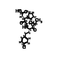 CCOC(=O)[C@H](CCc1ccc(Cl)cc1)N[C@@H](C)C(=O)[C@H](CC(=O)O)N1CCCC1